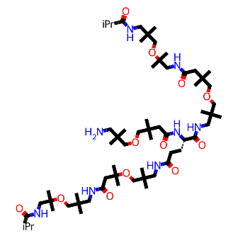 CC(C)C(=O)NCC(C)(C)COC(C)(C)CNC(=O)CC(C)(C)COCC(C)(C)CNC(=O)[C@H](CCC(=O)NCC(C)(C)COC(C)(C)CC(=O)NCC(C)(C)COC(C)(C)CNC(=O)C(C)C)NC(=O)CC(C)(C)COCC(C)(C)CN